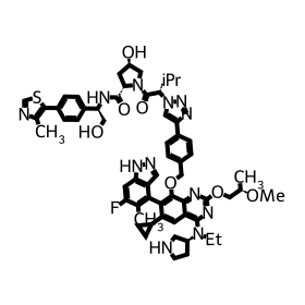 CCN(c1nc(OC[C@H](C)OC)nc2c(OCc3ccc(-c4cn([C@H](C(=O)N5C[C@H](O)C[C@H]5C(=O)N[C@@H](CO)c5ccc(-c6scnc6C)cc5)C(C)C)nn4)cc3)c(-c3c(C)c(F)cc4[nH]ncc34)c(C3CC3)cc12)[C@H]1CCNC1